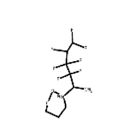 CC([SiH]1CCCCO1)C(F)(F)C(F)(F)C(F)C(F)F